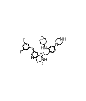 N=C(NCc1ccc(N2CCNCC2)cc1NC1CCOCC1)c1cc(Sc2cc(F)cc(F)c2)cnc1N